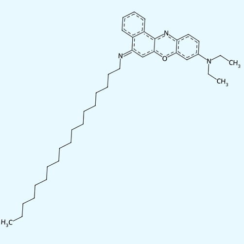 CCCCCCCCCCCCCCCCCCN=c1cc2oc3cc(N(CC)CC)ccc3nc-2c2ccccc12